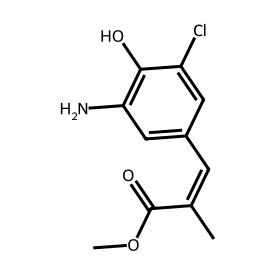 COC(=O)C(C)=Cc1cc(N)c(O)c(Cl)c1